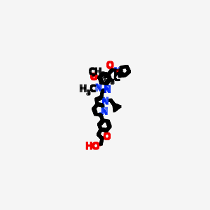 COc1cc(C(=O)N2CC3CCC2[C@@H]3C)cc2nc(-c3cc4ccc(-c5ccc6c(c5)CC(CO)O6)nc4n3CC3CC3)n(C)c12